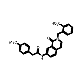 COc1ccc(CC(=O)Nc2ccc3ccn(Cc4ccccc4C(=O)O)c(=O)c3c2)cc1